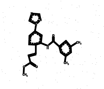 COC(=O)C=Cc1ccc(-n2cncn2)cc1NC(=O)c1cc(C)cc(C)c1